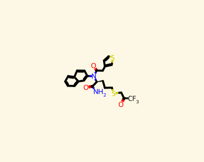 NC(=O)[C@H](CCCSCC(=O)C(F)(F)F)N(C(=O)Cc1ccsc1)c1ccc2ccccc2c1